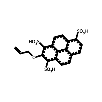 C=CCOc1c(S(=O)(=O)O)c2ccc3ccc(S(=O)(=O)O)c4ccc(c1S(=O)(=O)O)c2c34